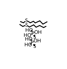 CCCCCCSCC.CCCCCCSCC.OP(O)(O)=S.OP(O)(O)=S